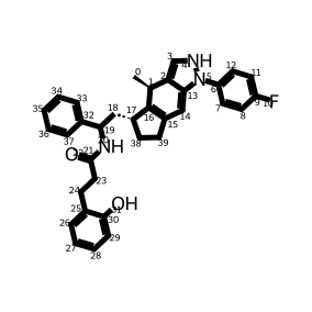 C[C@H]1C2=CNN(c3ccc(F)cc3)C2=CC2=C1[C@@H](CC(NC(=O)CCc1ccccc1O)c1ccccc1)CC2